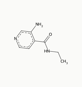 CCNC(=O)c1ccncc1N